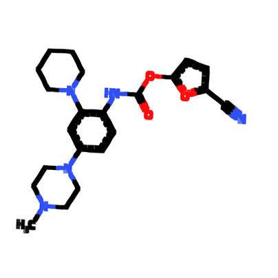 CN1CCN(c2ccc(NC(=O)Oc3ccc(C#N)o3)c(N3CCCCC3)c2)CC1